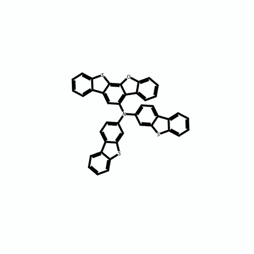 c1ccc2c(c1)oc1c3sc4ccccc4c3cc(N(c3ccc4c(c3)sc3ccccc34)c3ccc4c(c3)sc3ccccc34)c21